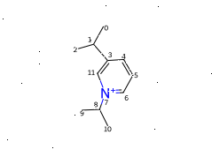 CC(C)c1ccc[n+](C(C)C)c1